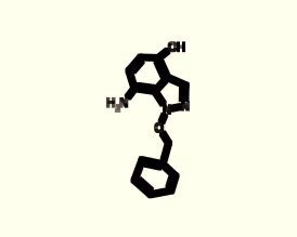 Nc1ccc(O)c2cnn(OCc3ccccc3)c12